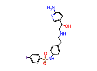 Nc1ccc(C(O)CNCCc2ccc(NS(=O)(=O)c3ccc(I)cc3)cc2)cn1